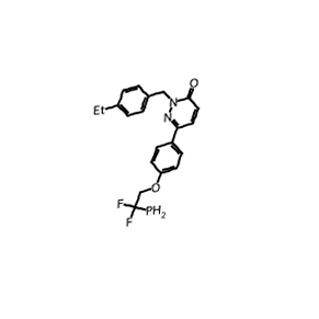 CCc1ccc(Cn2nc(-c3ccc(OCC(F)(F)P)cc3)ccc2=O)cc1